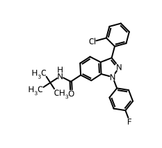 CC(C)(C)NC(=O)c1ccc2c(-c3ccccc3Cl)nn(-c3ccc(F)cc3)c2c1